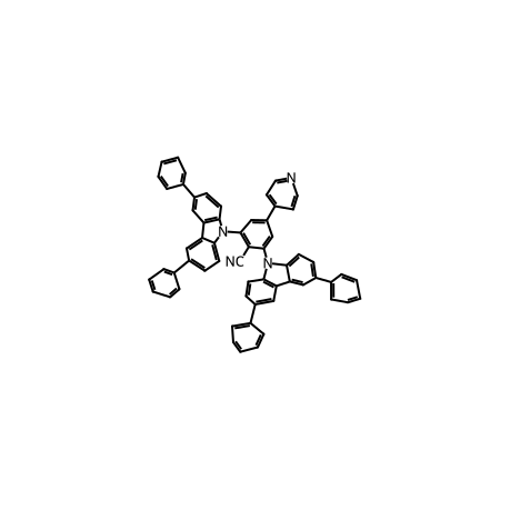 N#Cc1c(-n2c3ccc(-c4ccccc4)cc3c3cc(-c4ccccc4)ccc32)cc(-c2ccncc2)cc1-n1c2ccc(-c3ccccc3)cc2c2cc(-c3ccccc3)ccc21